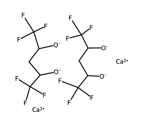 [Ca+2].[Ca+2].[O-]C(CC([O-])C(F)(F)F)C(F)(F)F.[O-]C(CC([O-])C(F)(F)F)C(F)(F)F